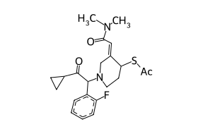 CC(=O)SC1CCN(C(C(=O)C2CC2)c2ccccc2F)CC1=CC(=O)N(C)C